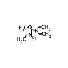 C=CN(C=C)P(OC(F)(F)F)N(C=C)CC